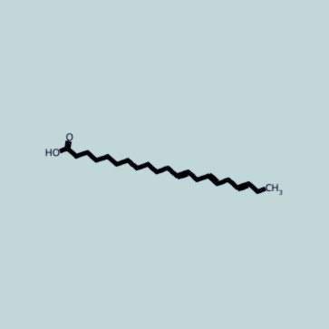 CCC=CCC=CCC=CCCCCCCCCCCC(=O)O